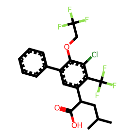 CC(C)CC(C(=O)O)c1cc(-c2ccccc2)c(OCC(F)(F)F)c(Cl)c1C(F)(F)F